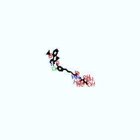 O=C(CCCCc1ccc(Cl)c(COC2(c3cnccc3-c3ccccc3OC3CC3)CC2)c1)NCC(O)C(O)C(O)C(O)CO